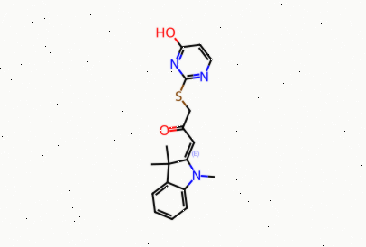 CN1/C(=C/C(=O)CSc2nccc(O)n2)C(C)(C)c2ccccc21